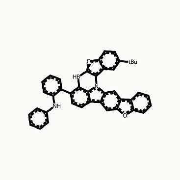 CC(C)(C)c1ccc2oc3c(c2c1)-n1c2cc4c(cc2c2ccc(-c5ccccc5Nc5ccccc5)c(c21)B3)oc1ccccc14